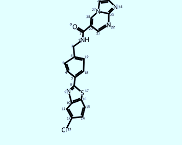 O=C(NCc1ccc(-c2nc3cc(Cl)ccc3s2)cc1)c1cnc2nccn2c1